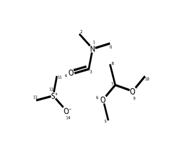 CN(C)C=O.COC(C)OC.C[S+](C)[O-]